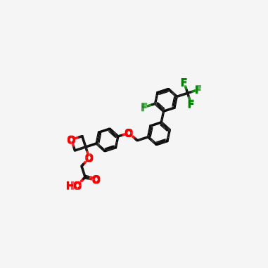 O=C(O)COC1(c2ccc(OCc3cccc(-c4cc(C(F)(F)F)ccc4F)c3)cc2)COC1